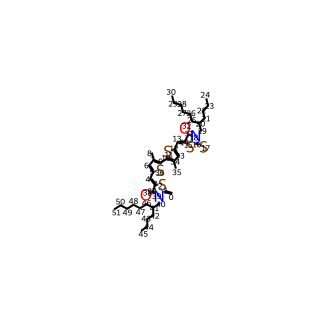 C=c1s/c(=C\c2cc(C)c(-c3sc(/C=C4\SC(=S)N(CC(CCCC)CCCCCC)C4=O)cc3C)s2)c(=O)n1CC(CCCC)CCCCCC